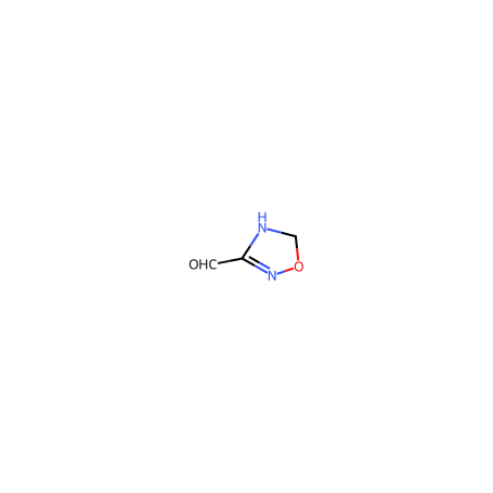 O=CC1=NOCN1